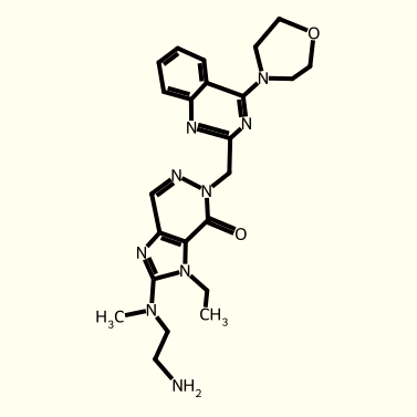 CCn1c(N(C)CCN)nc2cnn(Cc3nc(N4CCOCC4)c4ccccc4n3)c(=O)c21